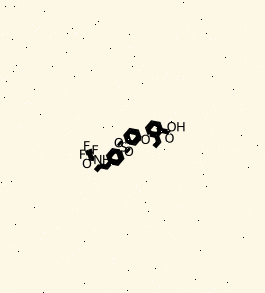 CCc1c(Oc2cccc(S(=O)(=O)c3ccc(CC(C)NC(=O)C(F)(F)F)cc3)c2)cccc1C(=O)O